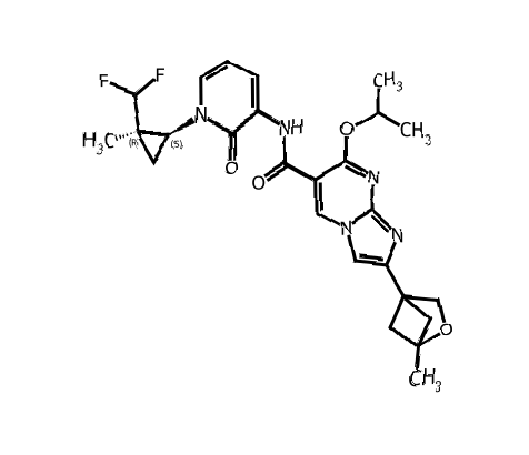 CC(C)Oc1nc2nc(C34COC(C)(C3)C4)cn2cc1C(=O)Nc1cccn([C@H]2C[C@@]2(C)C(F)F)c1=O